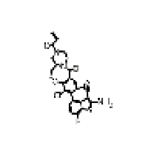 C=CC(=O)N1CCN2C(=O)c3cc(F)c(-c4ccc(F)c5sc(N)c(C#N)c45)c(Cl)c3OCCC2C1